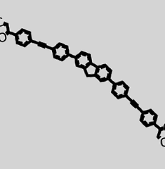 C=CC(=O)c1ccc(C#Cc2ccc(-c3ccc4c(c3)Cc3cc(-c5ccc(C#Cc6ccc(C(=O)C=C)cc6)cc5)ccc3-4)cc2)cc1